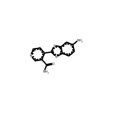 NC(=O)c1cnccc1-c1nc2ccc(N)cc2s1